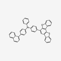 c1ccc(N(c2ccc(-c3cccc4ccccc34)cc2)c2ccc(-c3cc4c5ccccc5sc4c4c3oc3ccccc34)cc2)cc1